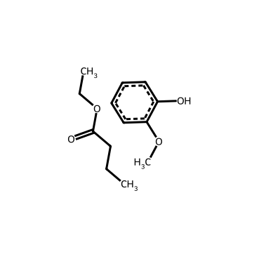 CCCC(=O)OCC.COc1ccccc1O